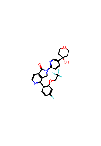 O=C1c2ccnc(-c3ccc(F)cc3OCC(F)(F)F)c2CN1c1ccc(C2(O)CCOCC2)cn1